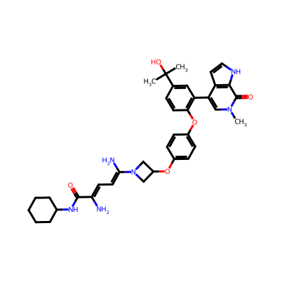 Cn1cc(-c2cc(C(C)(C)O)ccc2Oc2ccc(OC3CN(/C(N)=C/C=C(\N)C(=O)NC4CCCCC4)C3)cc2)c2cc[nH]c2c1=O